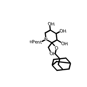 CCCCCN1CC(O)C(O)C(O)C1(CO)OCC12CC3CC(CC(C3)C1)C2